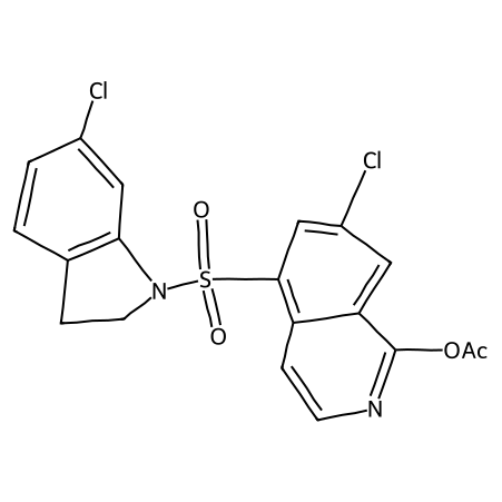 CC(=O)Oc1nccc2c(S(=O)(=O)N3CCc4ccc(Cl)cc43)cc(Cl)cc12